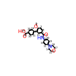 COc1ccc(C(=O)Nc2ccc(N3CCOCC3)cc2)cc1-c1ccc(C(=O)O)cc1